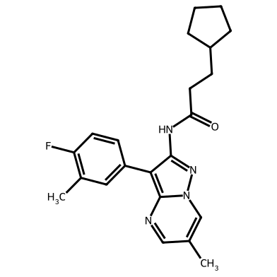 Cc1cnc2c(-c3ccc(F)c(C)c3)c(NC(=O)CCC3CCCC3)nn2c1